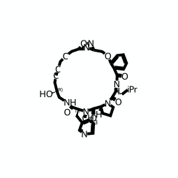 CC(C)C[C@H]1NC(=O)c2ccccc2OCc2noc(n2)CCCCCC[C@@H](O)CNC(=O)[C@H](Cc2cccnc2)N(C)C(=O)[C@H]2CCCN2C1=O